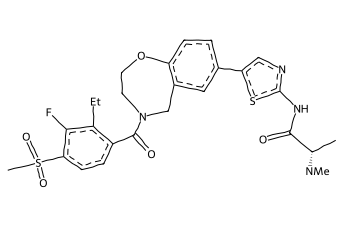 CCc1c(C(=O)N2CCOc3ccc(-c4cnc(NC(=O)[C@H](C)NC)s4)cc3C2)ccc(S(C)(=O)=O)c1F